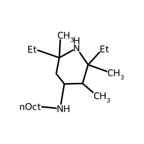 CCCCCCCCNC1CC(C)(CC)NC(C)(CC)C1C